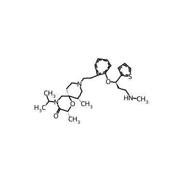 CNCC[C@@H](Oc1ccccc1CCN1CC[C@]2(CN(C(C)C)C(=O)[C@@H](C)O2)[C@@H](C)C1)c1cccs1